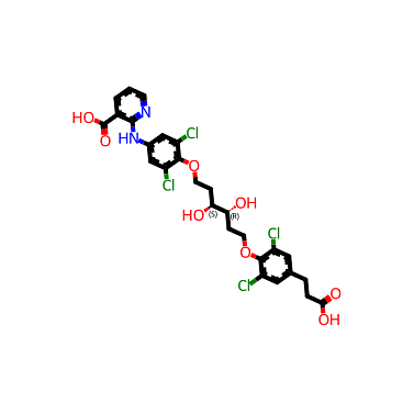 O=C(O)CCc1cc(Cl)c(OCC[C@@H](O)[C@@H](O)CCOc2c(Cl)cc(Nc3ncccc3C(=O)O)cc2Cl)c(Cl)c1